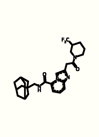 O=C(NCC12CC3CC(CC(C3)C1)C2)c1cccc2nc(CC(=O)N3CCCC(C(F)(F)F)C3)cn12